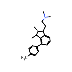 CC1c2c(-c3ccc(C(F)(F)F)cc3)cccc2C(CCN(C)C)[C@@H]1C